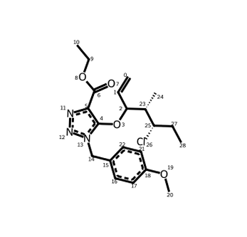 C=CC(Oc1c(C(=O)OCC)nnn1Cc1ccc(OC)cc1)[C@H](C)[C@@H](Cl)CC